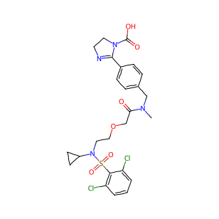 CN(Cc1ccc(C2=NCCN2C(=O)O)cc1)C(=O)COCCN(C1CC1)S(=O)(=O)c1c(Cl)cccc1Cl